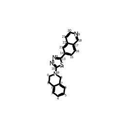 [CH]1Cc2ccccc2CN1c1nnc(-c2ccc3cnccc3c2)s1